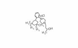 CC(O)CCN1CCN(c2ccccc2C2CC(C)(C)CC(C)(C)C2)CC1.Cl